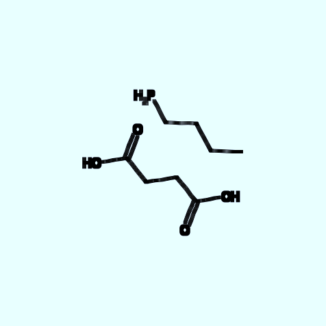 CCCCP.O=C(O)CCC(=O)O